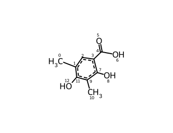 Cc1cc(C(=O)O)c(O)c(C)c1O